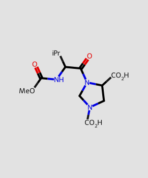 COC(=O)NC(C(=O)N1CN(C(=O)O)CC1C(=O)O)C(C)C